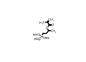 C=C(C)C(=O)OC(C)CC[Si](OC)(OC)OC